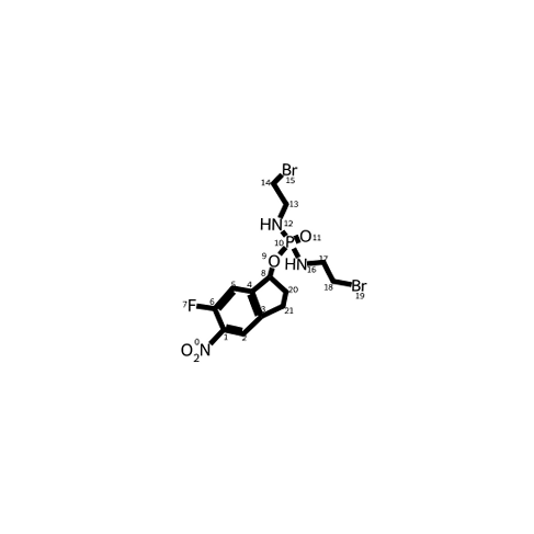 O=[N+]([O-])c1cc2c(cc1F)C(OP(=O)(NCCBr)NCCBr)CC2